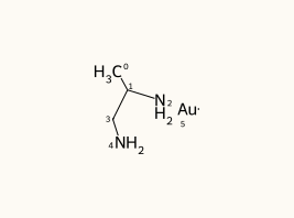 CC(N)CN.[Au]